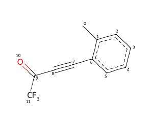 Cc1ccccc1C#CC(=O)C(F)(F)F